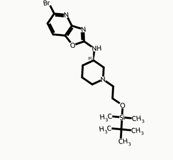 CC(C)(C)[Si](C)(C)OCCN1CCC[C@@H](Nc2nc3nc(Br)ccc3o2)C1